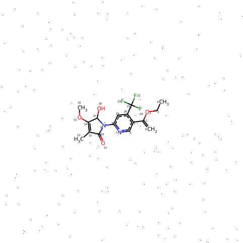 C=C(OCC)c1cnc(N2C(=O)C(C)=C(OC)C2O)cc1C(F)(F)F